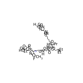 CCN(CC)CCCCC(NC(=O)C(NC(=O)CCCCCn1cc(-c2cnc(S(C)(=O)=O)nc2)nn1)C(C)C)C(=O)NCC(=O)NCOC/C=C/c1c2c(nc3cc(F)c(C)cc13)-c1cc3c(c(=O)n1C2)COC(=O)[C@]3(O)CC